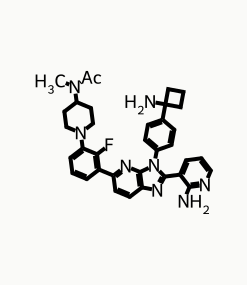 CC(=O)N(C)C1CCN(c2cccc(-c3ccc4nc(-c5cccnc5N)n(-c5ccc(C6(N)CCC6)cc5)c4n3)c2F)CC1